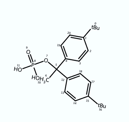 CC(C)(C)c1ccc(C(C)(OP(=O)(O)O)c2ccc(C(C)(C)C)cc2)cc1